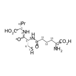 CC(C)[C@H](NC(=O)[C@@H](CS)NC(=O)CCCC(N)C(=O)O)C(=O)O